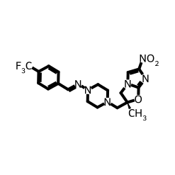 C[C@@]1(CN2CCN(/N=C/c3ccc(C(F)(F)F)cc3)CC2)Cn2cc([N+](=O)[O-])nc2O1